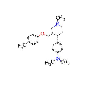 CN1CCC(c2ccc(N(C)C)cc2)C(COc2ccc(C(F)(F)F)cc2)C1